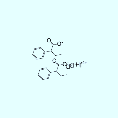 CCC(C(=O)[O-])c1ccccc1.CCC(C(=O)[O-])c1ccccc1.[Cl-].[Cl-].[Hf+4]